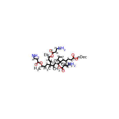 CCCCCCCCCCOC(=O)CC[C@@H](C)[C@H]1CC[C@@H](C)[C@]1(C)[C@H](C[C@@H](C)[C@@](C)(CC[C@H](CC)OC(=O)CCN)CC[C@H](C)OC(=O)CCN)OC(=O)CCN